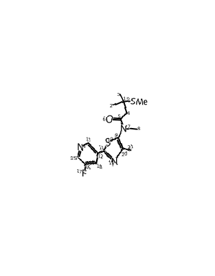 CSC(C)(C)CC(=O)N(C)c1sc(-c2cncc(F)c2)nc1C